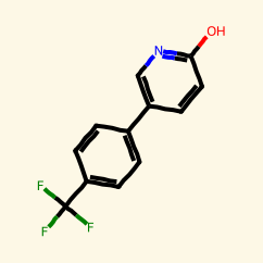 Oc1ccc(-c2ccc(C(F)(F)F)cc2)cn1